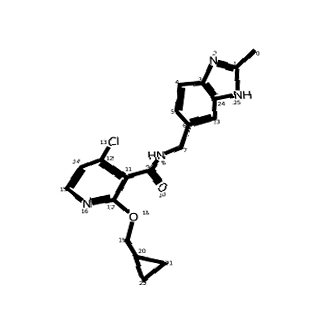 Cc1nc2ccc(CNC(=O)c3c(Cl)ccnc3OCC3CC3)cc2[nH]1